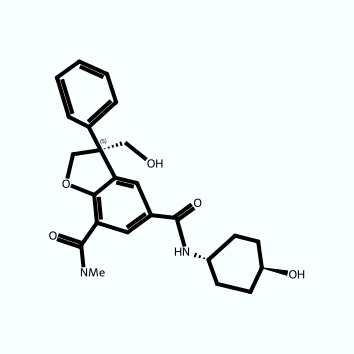 CNC(=O)c1cc(C(=O)N[C@H]2CC[C@H](O)CC2)cc2c1OC[C@@]2(CO)c1ccccc1